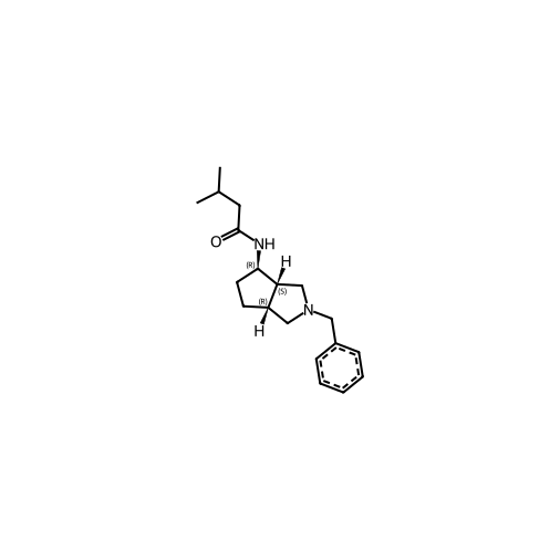 CC(C)CC(=O)N[C@@H]1CC[C@H]2CN(Cc3ccccc3)C[C@H]21